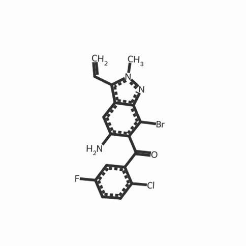 C=Cc1c2cc(N)c(C(=O)c3cc(F)ccc3Cl)c(Br)c2nn1C